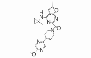 COc1cnc(C2=CCN(C(=O)c3nc(NC4(C)CC4)c4cc(C)oc4n3)CC2)cn1